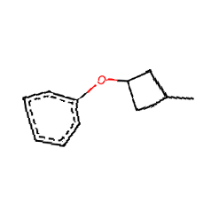 CC1CC(Oc2ccccc2)C1